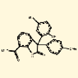 COC(=O)c1cccc2c1NC(=O)C2(c1ccc(OC)cc1)c1cc(C(C)(C)C)ccc1O